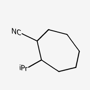 CC(C)C1CCCCCC1C#N